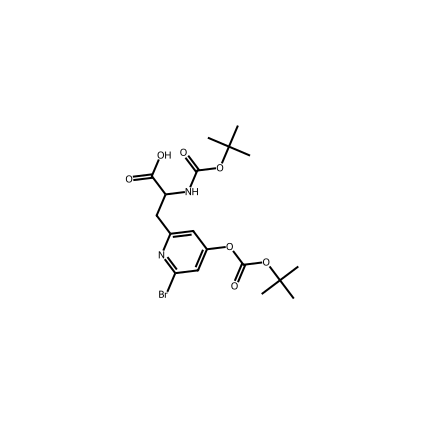 CC(C)(C)OC(=O)NC(Cc1cc(OC(=O)OC(C)(C)C)cc(Br)n1)C(=O)O